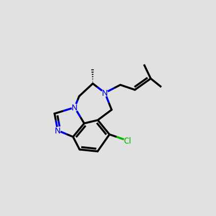 CC(C)=CCN1Cc2c(Cl)ccc3ncn(c23)C[C@@H]1C